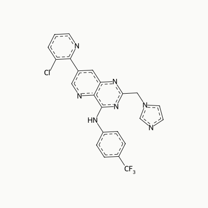 FC(F)(F)c1ccc(Nc2nc(Cn3ccnc3)nc3cc(-c4ncccc4Cl)cnc23)cc1